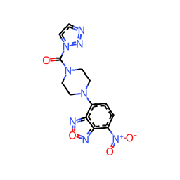 O=C(N1CCN(c2ccc([N+](=O)[O-])c3nonc23)CC1)n1ccnn1